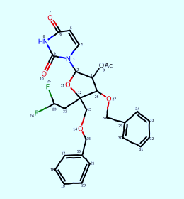 CC(=O)OC1C(n2ccc(=O)[nH]c2=O)OC(COCc2ccccc2)(CC(F)F)C1OCc1ccccc1